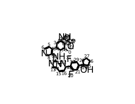 C[C@H]1C[C@@H](c2ccncc2Nc2ncc3ccc(-c4c(F)cc(C5(O)CCCC5)cc4F)nn23)C[C@@H](N)[C@@H]1S(C)(=O)=O